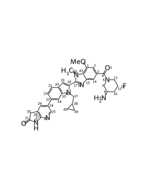 COc1cc(C(=O)N2C[C@H](N)C[C@@H](F)C2)cc2nc(-c3cc4ccc(-c5cnc6c(c5)CC(=O)N6)cc4n3CC3CC3)n(C)c12